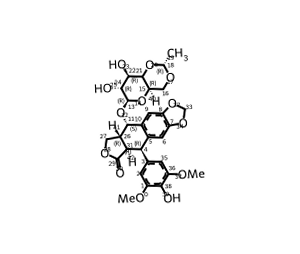 COc1cc([C@@H]2c3cc4c(cc3[C@@H](O[C@@H]3O[C@@H]5CO[C@@H](C)OC5[C@H](O)[C@H]3O)[C@H]3COC(=O)[C@H]23)OCO4)cc(OC)c1O